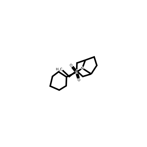 CCN1CC2CCC(C1)N2S(=O)(=O)C1CCCCC1